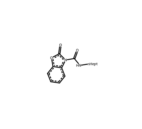 CCCCCCCNC(=O)n1c(=O)oc2ccccc21